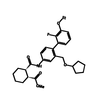 CCOc1cccc(-c2ccc(NC(=O)[C@H]3CCCC[C@H]3C(=O)OC)cc2COC2CCCC2)c1F